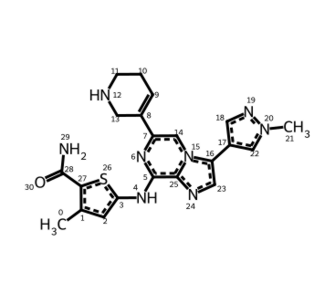 Cc1cc(Nc2nc(C3=CCCNC3)cn3c(-c4cnn(C)c4)cnc23)sc1C(N)=O